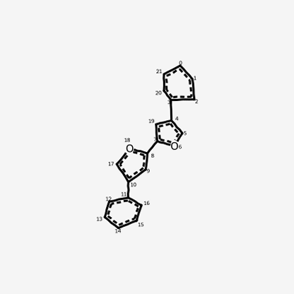 c1ccc(-c2coc(-c3cc(-c4ccccc4)co3)c2)cc1